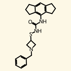 O=C(NSC1CN(Cc2ccccc2)C1)Nc1c2c(cc3c1CCC3)CCC2